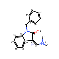 CN(C)/C=C1\C(=O)N(Cc2ccccc2)c2ccccc21